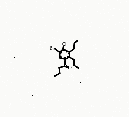 CCCC(=O)c1cc(Br)c(Cl)c(CCC)c1CCC